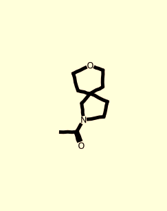 CC(=O)N1CCC2(CCOCC2)C1